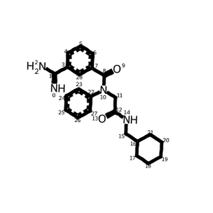 N=C(N)c1cccc(C(=O)N(CC(=O)NCC2CCCCC2)c2ccccc2)c1